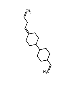 C=CCC=C1CCC(C2CCC(C=C)CC2)CC1